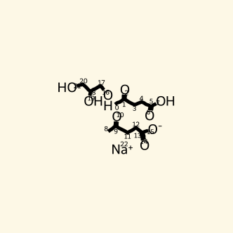 CC(=O)CCC(=O)O.CC(=O)CCC(=O)[O-].OCC(O)CO.[Na+]